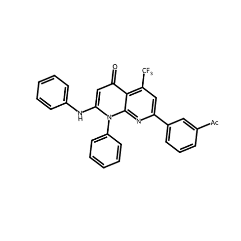 CC(=O)c1cccc(-c2cc(C(F)(F)F)c3c(=O)cc(Nc4ccccc4)n(-c4ccccc4)c3n2)c1